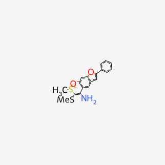 CSC(=C(N)c1ccc2oc(-c3ccccc3)cc2c1)[S+](C)[O-]